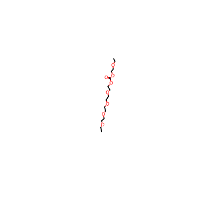 CCOCCOCCOCCOCCOC(=O)OCCOCC